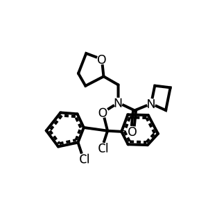 O=C(N1CCC1)N(CC1CCCO1)OC(Cl)(c1ccccc1)c1ccccc1Cl